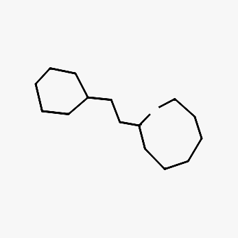 C1CCC[C](CCC2CCCCC2)CCC1